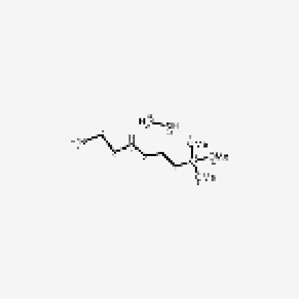 CO[Si](CCCNCCN)(OC)OC.N[SiH3]